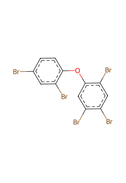 Brc1ccc(Oc2cc(Br)c(Br)cc2Br)c(Br)c1